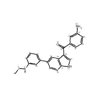 CSNc1cccc(-c2cnc3[nH]cc(C(=O)c4cccc(N)c4)c3c2)c1